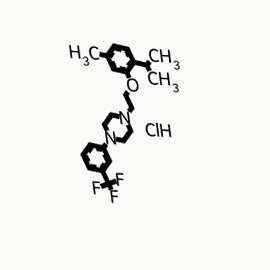 Cc1ccc(C(C)C)c(OCCN2CCN(c3cccc(C(F)(F)F)c3)CC2)c1.Cl